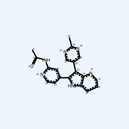 CC(=O)Nc1cc(-c2[nH]c3cccnc3c2-c2cnc(C)nc2)ccn1